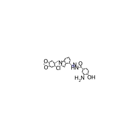 Nc1cc(C(=O)N/N=C/c2cccc3c2ccn3Cc2cc3c(cc2Cl)OCO3)ccc1O